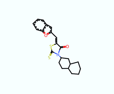 O=C1C(=Cc2cc3ccccc3o2)SC(=S)N1C1CCC2CCCCC2C1